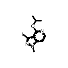 CC(C)Oc1nccc2c1c(I)nn2C